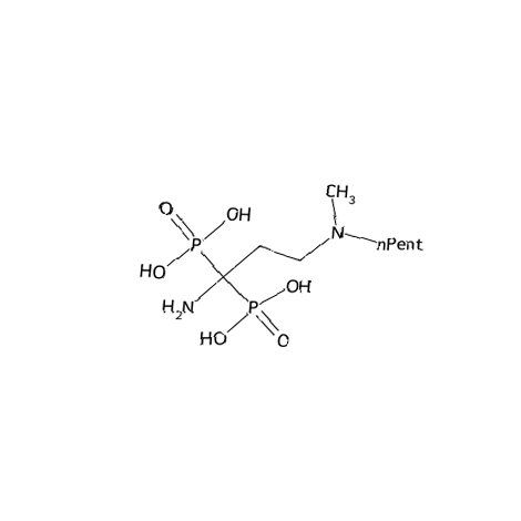 CCCCCN(C)CCC(N)(P(=O)(O)O)P(=O)(O)O